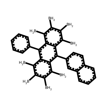 Bc1c(B)c(B)c2c(-c3ccc4ccccc4c3)c3c(B)c(B)c(B)c(B)c3c(-c3ccccc3)c2c1B